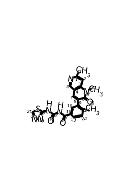 Cc1cc2c(cn1)cc(-c1cc(C(=O)NC(=O)Nc3nncs3)ccc1C)c(=O)n2C